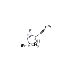 CCCC#CC(O)/C(F)=C\[C@H](C)C(C)C